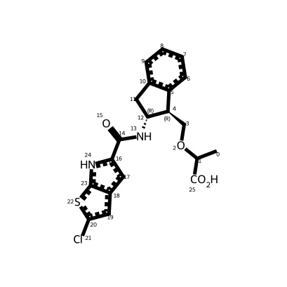 CC(OC[C@@H]1c2ccccc2C[C@H]1NC(=O)c1cc2cc(Cl)sc2[nH]1)C(=O)O